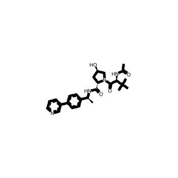 CC(=O)N[C@H](C(=O)N1C[C@H](O)C[C@H]1C(=O)N[C@@H](C)c1ccc(-c2cccnc2)cc1)C(C)(C)C